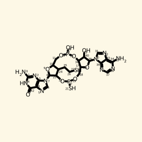 Nc1nc2c(ncn2C2OC3COP(O)OC4C(COP(S)OC2C3CCS)OC(n2cnc3c(N)ncnc32)C4O)c(=O)[nH]1